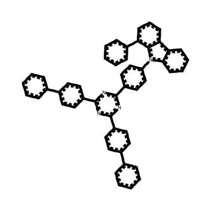 c1ccc(-c2ccc(-c3nc(-c4ccc(-c5ccccc5)cc4)nc(-c4ccc(-n5c6ccccc6c6cccc(-c7ccccc7)c65)cc4)n3)cc2)cc1